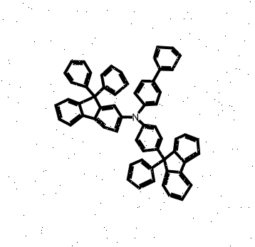 c1ccc(-c2ccc(N(c3ccc(C4(c5ccccc5)c5ccccc5-c5ccccc54)cc3)c3ccc4c(c3)C(c3ccccc3)(c3ccccc3)c3ccccc3-4)cc2)cc1